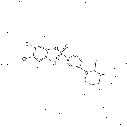 O=C1NCCCN1c1ccc(S(=O)(=O)Oc2cc(Cl)c(Cl)cc2Cl)cc1